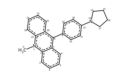 C[n+]1c2ccccc2c(-c2ccc(N3CCCC3)cc2)c2ccccc21